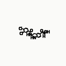 O=C(NO)c1ccc2c(c1)CC(NC(=O)c1ccc(Cl)c(Cl)c1)CN2